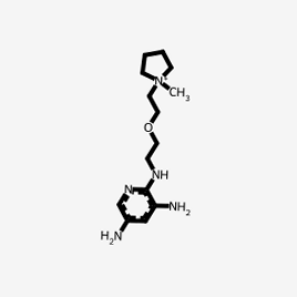 C[N+]1(CCOCCNc2ncc(N)cc2N)CCCC1